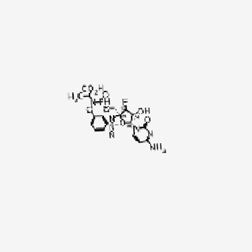 CC(C(=O)O)N(Oc1ccccc1)[PH](=O)OC[C@@]1(N=[N+]=[N-])O[C@@H](n2ccc(N)nc2=O)[C@H](O)[C@@H]1F